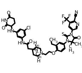 CCc1cc(N2C(=S)N(c3cnc(C#N)c(C(F)(F)F)c3)C(=O)C2(C)C)ccc1OCCN1C[C@H]2CC[C@@H]1CN2CC(=O)Nc1cc(Cl)cc(NC2CCC(=O)NC2=O)c1